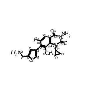 Cc1c(-c2csc(CN)c2)c(F)cc2c(=O)n(N)c(=O)n(C3CC3)c12